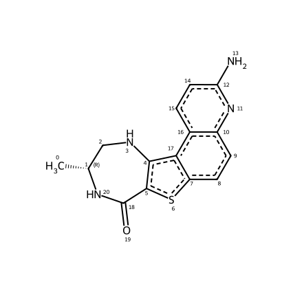 C[C@@H]1CNc2c(sc3ccc4nc(N)ccc4c23)C(=O)N1